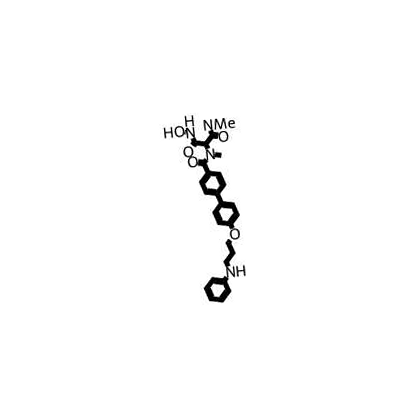 CNC(=O)C(C(=O)NO)N(C)C(=O)c1ccc(-c2ccc(OCCCNc3ccccc3)cc2)cc1